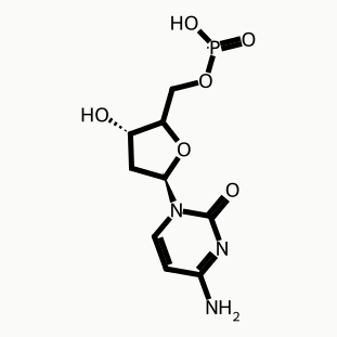 Nc1ccn([C@H]2C[C@H](O)C(CO[P](=O)O)O2)c(=O)n1